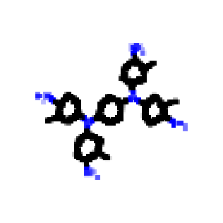 Cc1cc(N(c2ccc(N(c3ccc(N)c(C)c3)c3ccc(N)c(C)c3)cc2)c2ccc(N)c(C)c2)ccc1N